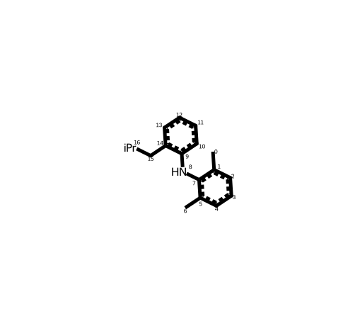 Cc1cccc(C)c1Nc1ccccc1CC(C)C